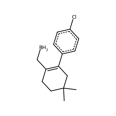 BCC1=C(c2ccc(Cl)cc2)CC(C)(C)CC1